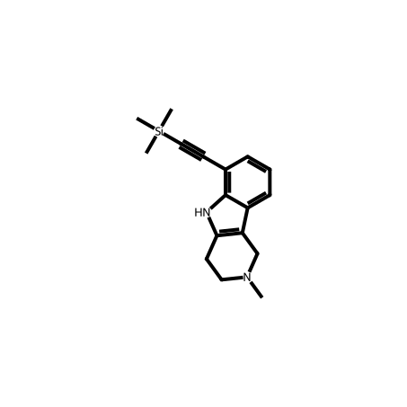 CN1CCc2[nH]c3c(C#C[Si](C)(C)C)cccc3c2C1